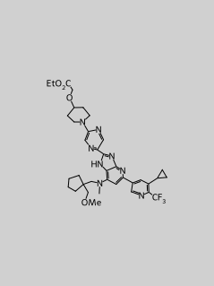 CCOC(=O)COC1CCN(c2cnc(-c3nc4nc(-c5cnc(C(F)(F)F)c(C6CC6)c5)cc(N(C)CC5(COC)CCCC5)c4[nH]3)cn2)CC1